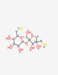 OCC1(OC2OC(CS)C(O)C(O)C2O)OCC(O)(CS)C1O